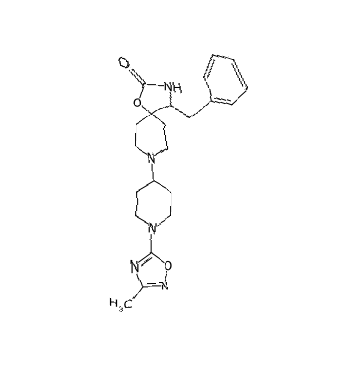 Cc1noc(N2CCC(N3CCC4(CC3)OC(=O)NC4Cc3ccccc3)CC2)n1